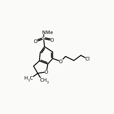 CNS(=O)(=O)c1cc2c(c(OCCCCl)c1)OC(C)(C)C2